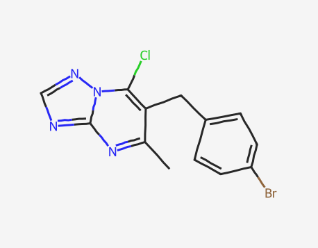 Cc1nc2ncnn2c(Cl)c1Cc1ccc(Br)cc1